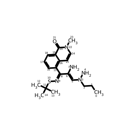 CCCN(N)/C=C(N)/C(=N/SC(C)(C)C)c1cccc2c(=O)n(C)ccc12